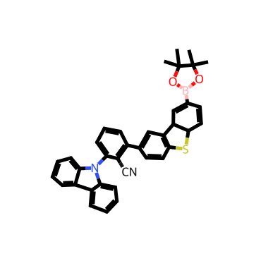 CC1(C)OB(C2=CC3c4cc(-c5cccc(-n6c7ccccc7c7ccccc76)c5C#N)ccc4SC3C=C2)OC1(C)C